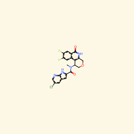 CN(C(=O)c1cc2cc(Cl)cnc2[nH]1)C1COCc2[nH]c(=O)c3cc(F)c(F)cc3c21